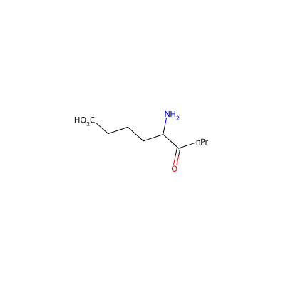 CCCC(=O)C(N)CCCC(=O)O